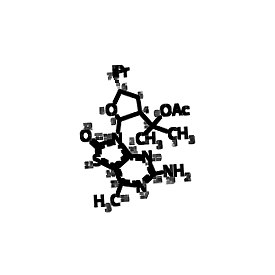 CC(=O)OC(C)(C)C1C[C@@H](C(C)C)OC1n1c(=O)sc2c(C)nc(N)nc21